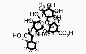 CCC1CC(C(=O)O)C[C@@H](O[C@@H]2O[C@@H](CO)[C@H](O)C(O[C@@H](CC3CCCCC3)C(=O)O)C2NC(C)=O)[C@@H]1OC1O[C@@H](C)[C@H](O)C(O)[C@@H]1O